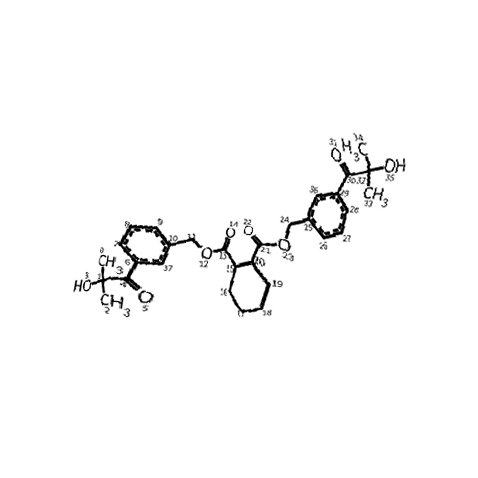 CC(C)(O)C(=O)c1cccc(COC(=O)C2CCCCC2C(=O)OCc2cccc(C(=O)C(C)(C)O)c2)c1